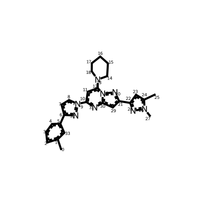 Cc1cccc(-c2ccn(-c3cc(N4CCCCC4)n4nc(-c5cc(C)n(C)n5)cc4n3)n2)c1